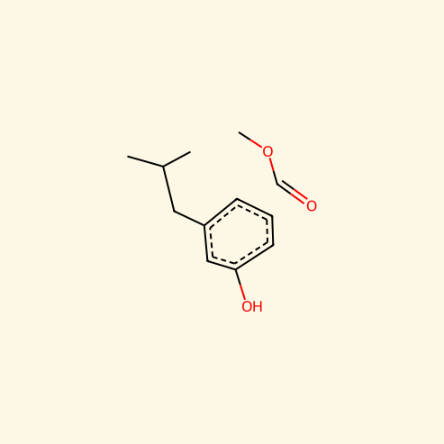 CC(C)Cc1cccc(O)c1.COC=O